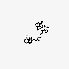 Cc1nccc(F)c1C(=O)NC(CCOCC(C)CCc1ccc2c(n1)NCCC2)C(=O)O